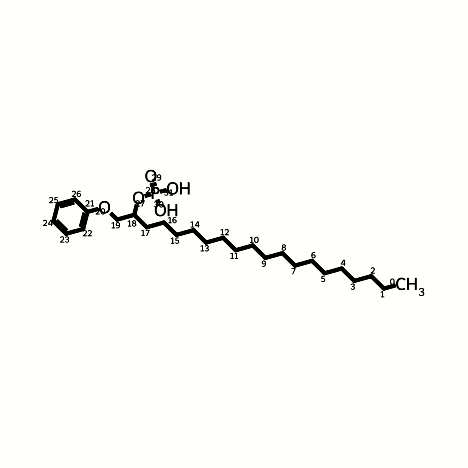 CCCCCCCCCCCCCCCCCCC(COc1ccccc1)OP(=O)(O)O